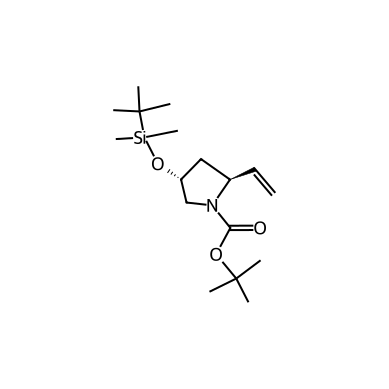 C=C[C@@H]1C[C@@H](O[Si](C)(C)C(C)(C)C)CN1C(=O)OC(C)(C)C